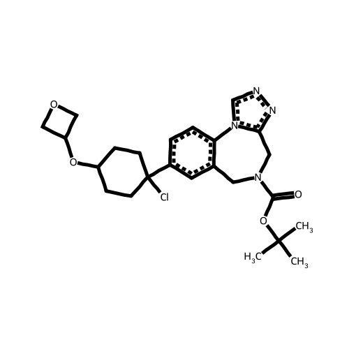 CC(C)(C)OC(=O)N1Cc2cc(C3(Cl)CCC(OC4COC4)CC3)ccc2-n2cnnc2C1